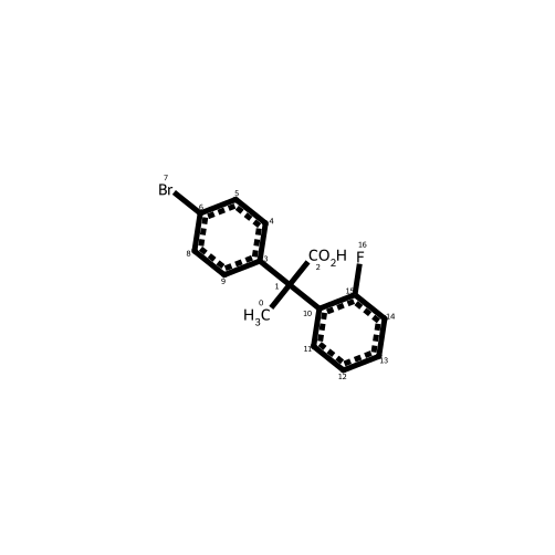 CC(C(=O)O)(c1ccc(Br)cc1)c1ccccc1F